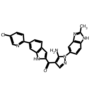 Cc1nc2cc(-n3ncc(C(=O)c4cc5ccc(-c6ccc(Cl)cn6)cc5[nH]4)c3N)ccc2[nH]1